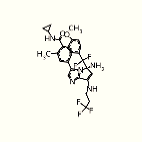 COc1ccc(C(F)(F)[C@]2(N)C=C(NCCC(F)(F)F)c3ncc(-c4ccc(C(=O)NC5CC5)c(C)c4)n32)cc1